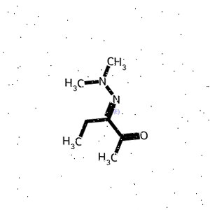 CC/C(=N\N(C)C)C(C)=O